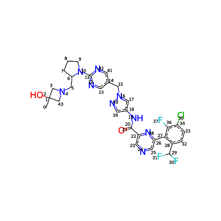 CC1(O)CN(CC2CCCN2c2ncc(Cn3cc(NC(=O)c4cncc(-c5c(C(F)F)ccc(Cl)c5F)n4)cn3)cn2)C1